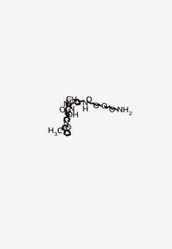 C[C@H](CC(=O)N1CCC(O)(Cn2cnc3c(-c4ccc(CNC(=O)CCOCCOCCOCCN)cc4)n(C)nc3c2=O)CC1)c1ccccc1